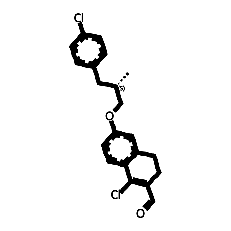 C[C@H](COc1ccc2c(c1)CCC(C=O)=C2Cl)Cc1ccc(Cl)cc1